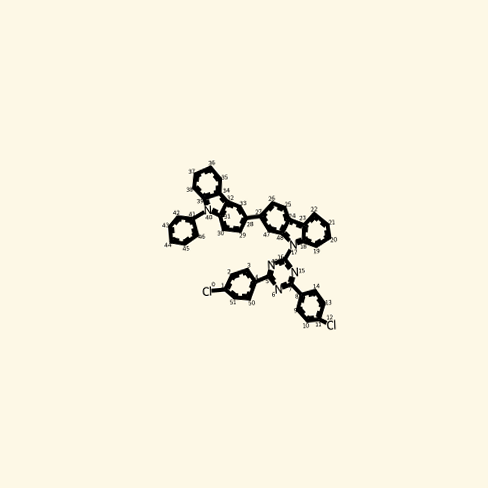 Clc1ccc(-c2nc(-c3ccc(Cl)cc3)nc(-n3c4ccccc4c4ccc(-c5ccc6c(c5)c5ccccc5n6-c5ccccc5)cc43)n2)cc1